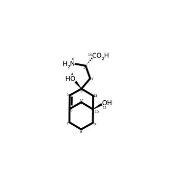 N[C@@H](C[C@@]1(O)C=C2CCC[C@](O)(C2)C1)C(=O)O